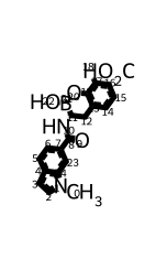 Cn1ccc2ccc(C(=O)N[C@H]3Cc4cccc(C(=O)O)c4OB3O)cc21